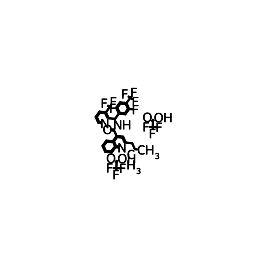 CC(C)Cc1cc(C(=O)N[C@@H](c2ccc(C(F)(F)F)c(F)c2)c2ncccc2C(F)(F)F)c2ccccc2n1.O=C(O)C(F)(F)F.O=C(O)C(F)(F)F